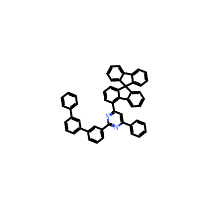 c1ccc(-c2cccc(-c3cccc(-c4nc(-c5ccccc5)cc(-c5cccc6c5-c5ccccc5C65c6ccccc6-c6ccccc65)n4)c3)c2)cc1